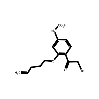 C=CCCCOc1cc(NC(=O)O)ccc1C(=O)CBr